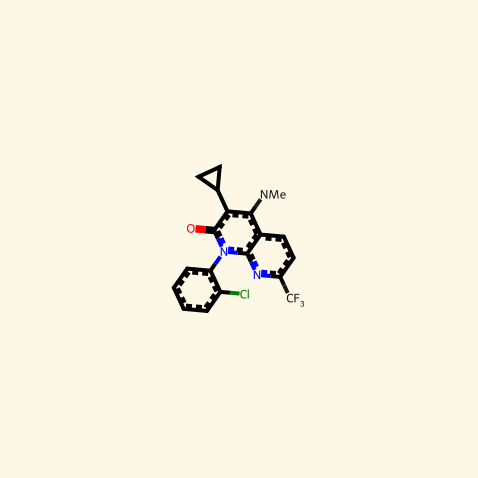 CNc1c(C2CC2)c(=O)n(-c2ccccc2Cl)c2nc(C(F)(F)F)ccc12